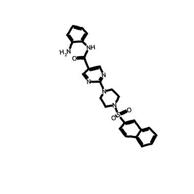 Nc1ccccc1NC(=O)c1cnc(N2CCN(S(=O)(=O)c3ccc4ccccc4c3)CC2)nc1